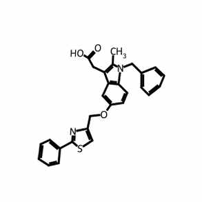 Cc1c(CC(=O)O)c2cc(OCc3csc(-c4ccccc4)n3)ccc2n1Cc1ccccc1